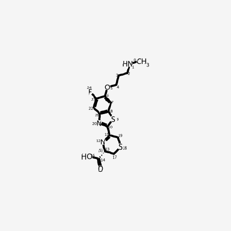 CNCCCOc1cc2sc(C3=N[C@@H](C(=O)O)CSC3)nc2cc1F